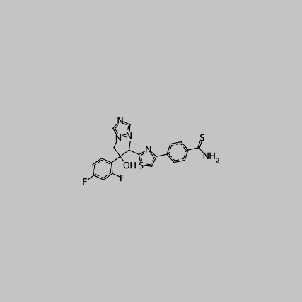 CC(c1nc(-c2ccc(C(N)=S)cc2)cs1)C(O)(Cn1cncn1)c1ccc(F)cc1F